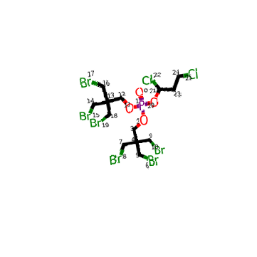 O=P(OCC(CBr)(CBr)CBr)(OCC(CBr)(CBr)CBr)OC(Cl)CCCl